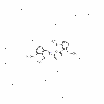 COc1cccc(/C=C/C(=O)OC(=O)c2c(OC)cccc2OC)c1OC